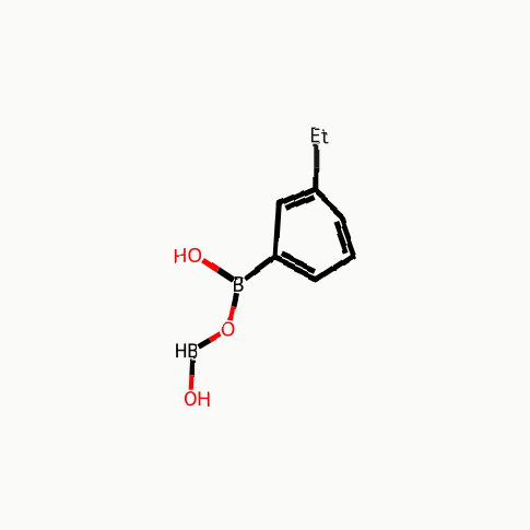 CCc1cccc(B(O)OBO)c1